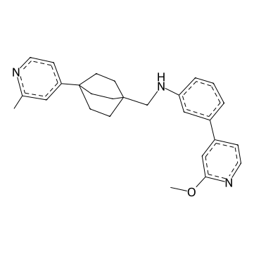 COc1cc(-c2cccc(NCC34CCC(c5ccnc(C)c5)(CC3)CC4)c2)ccn1